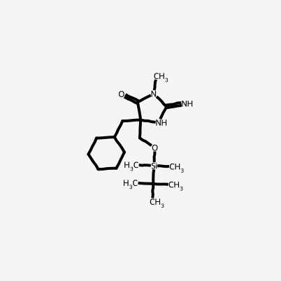 CN1C(=N)NC(CO[Si](C)(C)C(C)(C)C)(CC2CCCCC2)C1=O